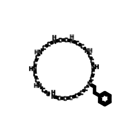 c1ccc(CCN2CCCCCCNCCNCCNCCNCCNCCNCCNCCNCC2)cc1